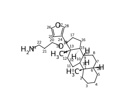 C[C@]12CCCC[C@H]1CC[C@@H]1[C@@H]2CC[C@@]2(C)[C@H]1CC[C@]2(OCCCN)c1ccoc1